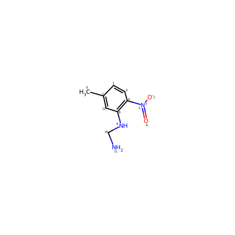 Cc1ccc([N+](=O)[O-])c(NCN)c1